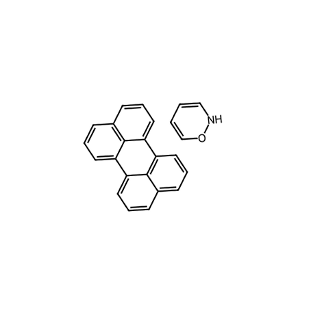 C1=CNOC=C1.c1cc2cccc3c4cccc5cccc(c(c1)c23)c54